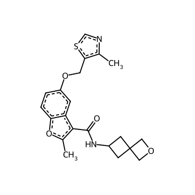 Cc1ncsc1COc1ccc2oc(C)c(C(=O)NC3CC4(COC4)C3)c2c1